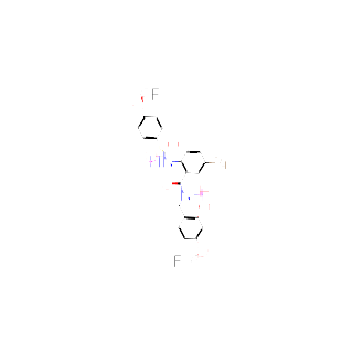 O=C(NCc1ccc(OC(F)(F)F)cc1O)c1cc(Br)ccc1NS(=O)(=O)c1ccc(OC(F)(F)F)cc1